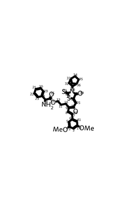 COc1cc(OC)cc(-c2cc(CCCOC(=O)C(N)c3ccccc3)c(C=C3SC(=S)N(C4CC5CCC4C5)C3=O)o2)c1